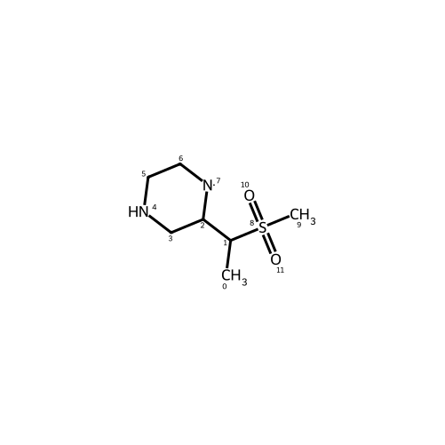 CC(C1CNCC[N]1)S(C)(=O)=O